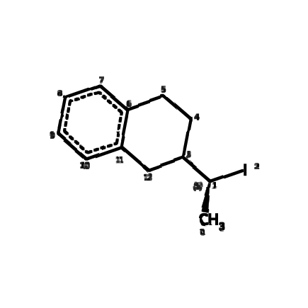 C[C@H](I)C1CCc2ccccc2C1